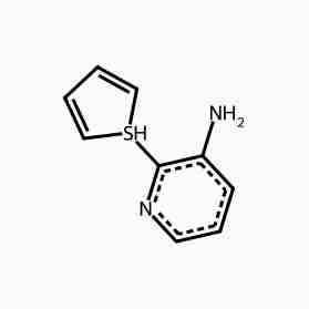 Nc1cccnc1[SH]1C=CC=C1